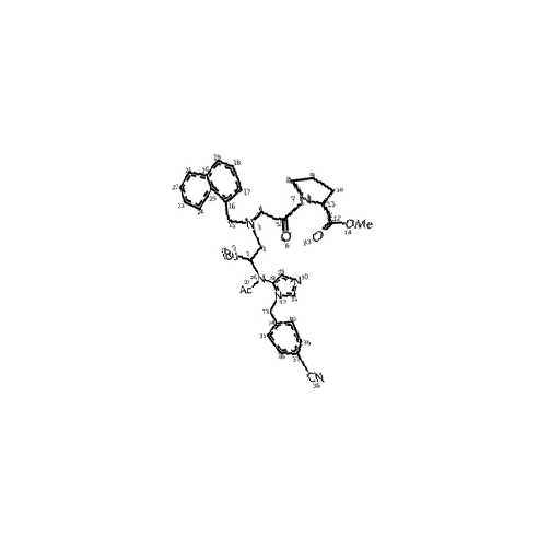 CCC(C)C(CN(CC(=O)N1CCCC1C(=O)OC)Cc1cccc2ccccc12)N(C(C)=O)c1cncn1Cc1ccc(C#N)cc1